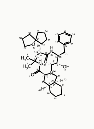 CC(C)(C)NC(=O)[C@@H]1C[C@@H]2CCCC[C@@H]2CN1C[C@@H](O)[C@H](Cc1ccccc1)NC(=O)O[C@H]1CCCC12CCCO2